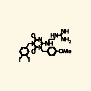 COc1ccc(Cn2c(NCCNC(=N)N)nc(=O)n(Cc3ccc(I)c(I)c3)c2=O)cc1